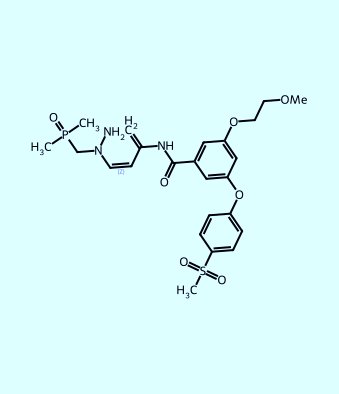 C=C(/C=C\N(N)CP(C)(C)=O)NC(=O)c1cc(OCCOC)cc(Oc2ccc(S(C)(=O)=O)cc2)c1